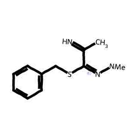 CN/N=C(/SCc1ccccc1)C(C)=N